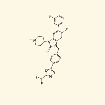 CN1CCC(n2c(=O)n(Cc3ccc(-c4nnc(C(F)F)o4)cn3)c3cc(F)c(-c4cccc(F)c4)cc32)CC1